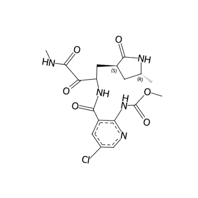 CNC(=O)C(=O)C(C[C@@H]1C[C@@H](C)NC1=O)NC(=O)c1cc(Cl)cnc1NC(=O)OC